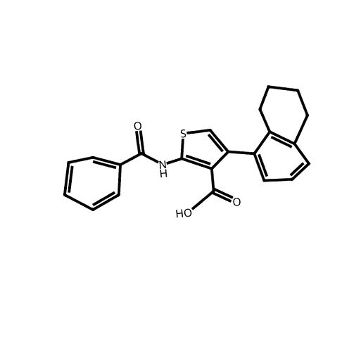 O=C(Nc1scc(-c2cccc3c2CCCC3)c1C(=O)O)c1ccccc1